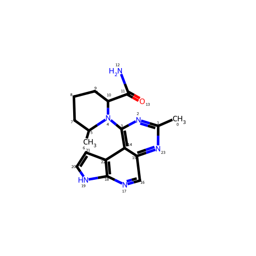 Cc1nc(N2C(C)CC[CH]C2C(N)=O)c2c(cnc3[nH]ccc32)n1